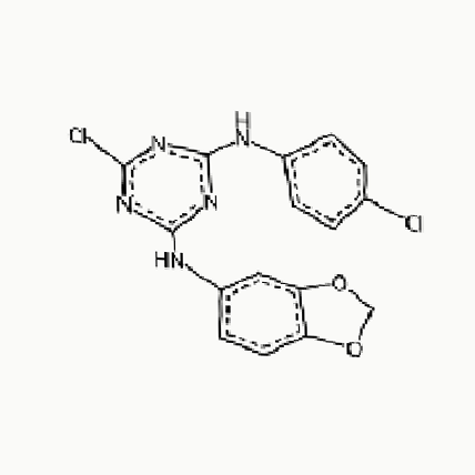 Clc1ccc(Nc2nc(Cl)nc(Nc3ccc4c(c3)OCO4)n2)cc1